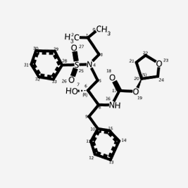 CC(C)CN(C[C@@H](O)C(Cc1ccccc1)NC(=O)O[C@H]1CCOC1)S(=O)(=O)c1ccccc1